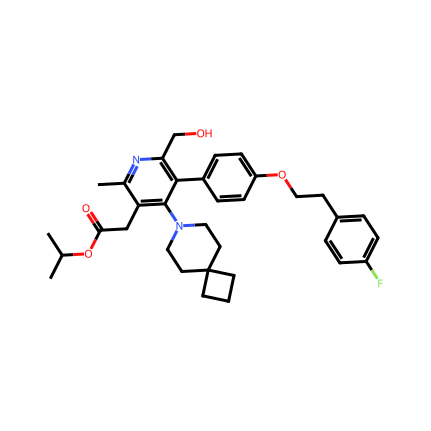 Cc1nc(CO)c(-c2ccc(OCCc3ccc(F)cc3)cc2)c(N2CCC3(CCC3)CC2)c1CC(=O)OC(C)C